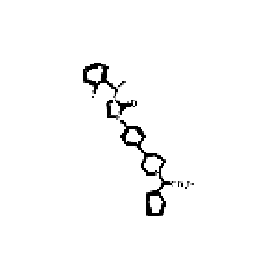 CCOC(=O)C(c1ccccc1)N1CCC(c2ccc(-n3ccn([C@H](C)c4ccccc4F)c3=O)cc2)CC1